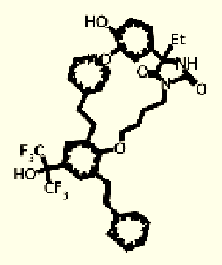 CCC1(c2ccc(O)c(O)c2)NC(=O)N(CCCCOc2c(CCc3ccccc3)cc(C(O)(C(F)(F)F)C(F)(F)F)cc2CCc2ccccc2)C1=O